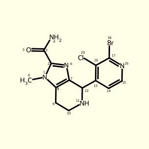 Cn1c(C(N)=O)nc2c1CCNC2c1ccnc(Br)c1Cl